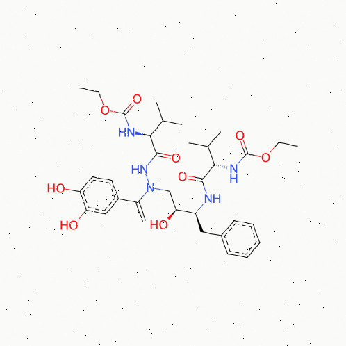 C=C(c1ccc(O)c(O)c1)N(C[C@H](O)[C@H](Cc1ccccc1)NC(=O)[C@@H](NC(=O)OCC)C(C)C)NC(=O)[C@@H](NC(=O)OCC)C(C)C